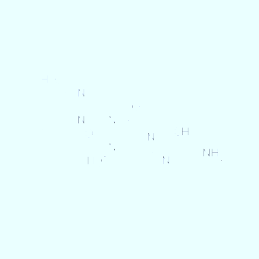 CCn1c(N2CCC[C@@H](N)C2)cc2c1c(=O)n(Cc1nc(C)c3ccccc3n1)c(=O)n2C